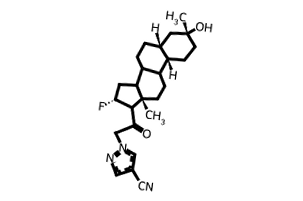 C[C@@]1(O)CC[C@@H]2C3CC[C@@]4(C)C(C[C@@H](F)C4C(=O)Cn4cc(C#N)cn4)C3CC[C@@H]2C1